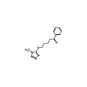 Cn1nnnc1SCCCCC(=O)c1ccccc1